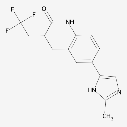 Cc1ncc(-c2ccc3c(c2)CC(CC(F)(F)F)C(=O)N3)[nH]1